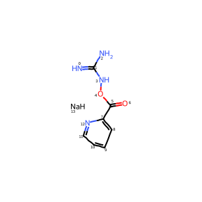 N=C(N)NOC(=O)c1ccccn1.[NaH]